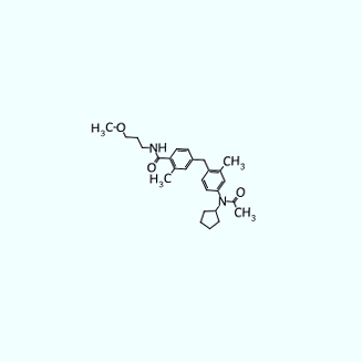 COCCCNC(=O)c1ccc(Cc2ccc(N(C(C)=O)C3CCCC3)cc2C)cc1C